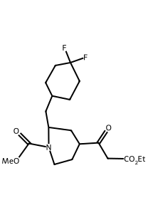 CCOC(=O)CC(=O)C1CCN(C(=O)OC)C(CC2CCC(F)(F)CC2)C1